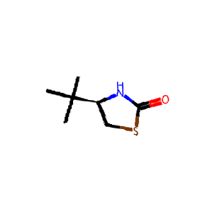 CC(C)(C)[C@@H]1CSC(=O)N1